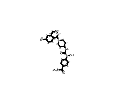 COC(=O)c1ccc(N(S)C(=O)NC2CCN(c3nncc4cc(Br)ccc34)CC2)cc1